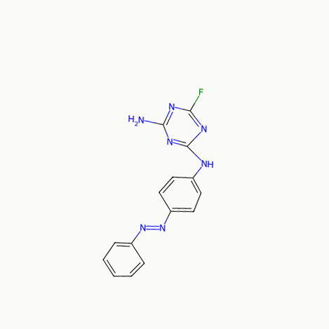 Nc1nc(F)nc(Nc2ccc(N=Nc3ccccc3)cc2)n1